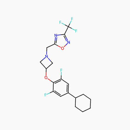 Fc1cc(C2CCCCC2)cc(F)c1OC1CN(Cc2nc(C(F)(F)F)no2)C1